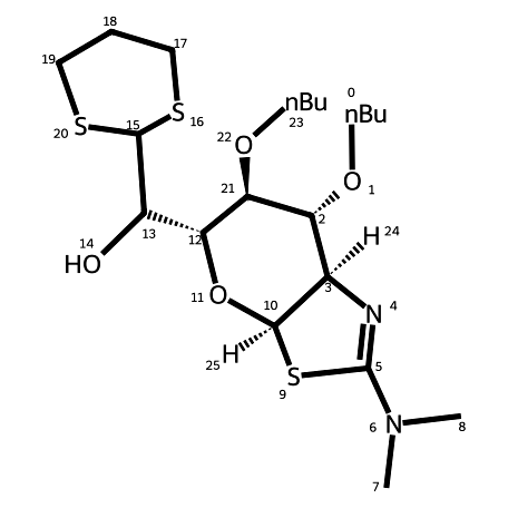 CCCCO[C@@H]1[C@H]2N=C(N(C)C)S[C@H]2O[C@H](C(O)C2SCCCS2)[C@H]1OCCCC